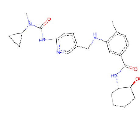 Cc1ccc(C(=O)N[C@H]2CCCC[C@@H]2O)cc1NCc1ccc(NC(=O)N(C)C2CC2)nc1